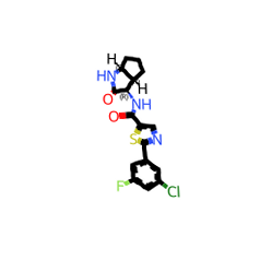 O=C(N[C@H]1C(=O)N[C@H]2CCC[C@H]21)c1cnc(-c2cc(F)cc(Cl)c2)s1